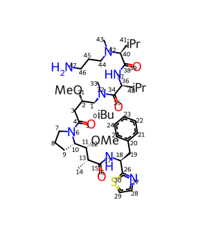 CC[C@H](C)[C@@H]([C@@H](CC(=O)N1CCC[C@H]1[C@H](OC)[C@@H](C)C(=O)N[C@@H](Cc1ccccc1)c1nccs1)OC)N(C)C(=O)[C@@H](NC(=O)[C@H](C(C)C)N(C)CCCN)C(C)C